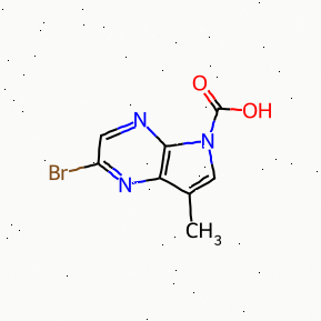 Cc1cn(C(=O)O)c2ncc(Br)nc12